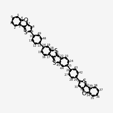 c1ccc2c(c1)oc1cc(-c3ccc(-c4ccc5c(c4)sc4c6ccc(-c7ccc(-c8cc9oc%10ccccc%10c9s8)cc7)cc6sc54)cc3)sc12